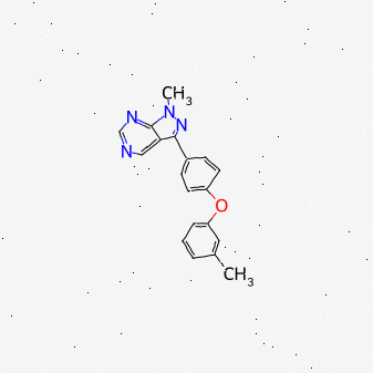 Cc1cccc(Oc2ccc(-c3nn(C)c4ncncc34)cc2)c1